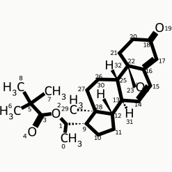 CC(OC(=O)C(C)(C)C)[C@H]1CC[C@H]2[C@@H]3C=CC4=CC(=O)CC[C@@]4(C=O)[C@H]3CC[C@]12C